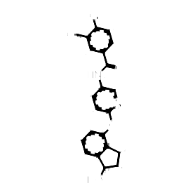 O=C(Nc1ccc(Oc2cccc3c2CCC3O)nc1)c1ccc(Cl)c(Cl)c1